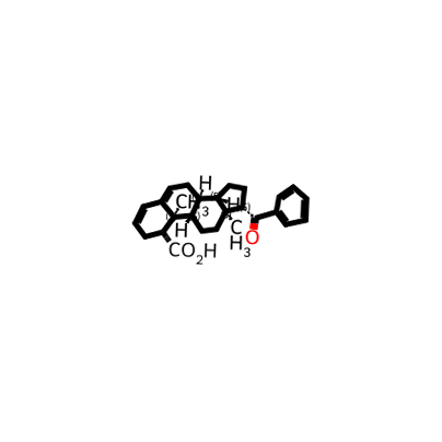 C[C@]12CC[C@H]3[C@@H](CC=C4C=CCC(C(=O)O)[C@@]43C)[C@@H]1CC[C@@H]2C(=O)c1ccccc1